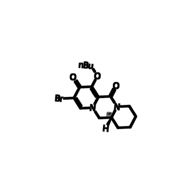 CCCCOc1c2n(cc(Br)c1=O)C[C@H]1CCCCN1C2=O